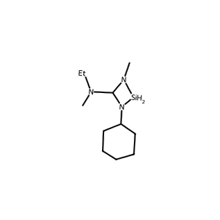 CCN(C)C1N(C)[SiH2]N1C1CCCCC1